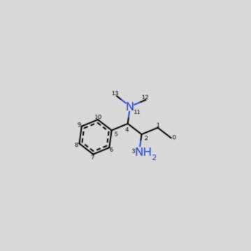 CCC(N)C(c1ccccc1)N(C)C